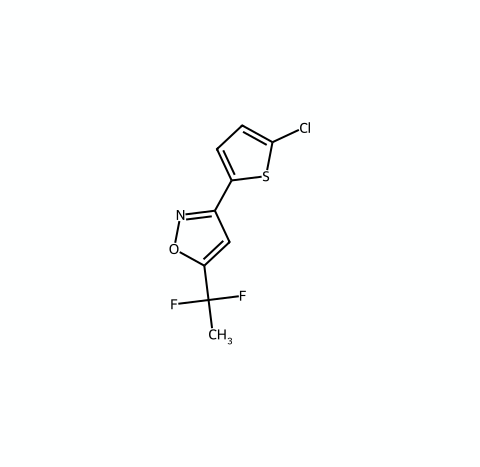 CC(F)(F)c1cc(-c2ccc(Cl)s2)no1